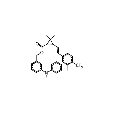 Cc1cc(C=CC2C(C(=O)OCc3cccc(N(C)c4ccccc4)c3)C2(C)C)ccc1C(F)(F)F